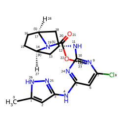 Cc1cc(Nc2cc(Cl)nc(N[C@@H]3C[C@H]4CC[C@@H](C3)N4C(=O)OC(C)(C)C)n2)n[nH]1